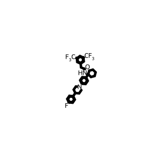 O=C(Cc1cc(C(F)(F)F)cc(C(F)(F)F)c1)NC1(c2ccc(N3CCC(c4ccc(F)cc4)CC3)cc2)CCCCC1